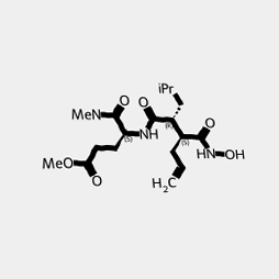 C=CC[C@H](C(=O)NO)[C@@H](CC(C)C)C(=O)N[C@@H](CCC(=O)OC)C(=O)NC